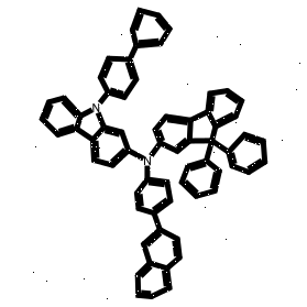 c1ccc(-c2ccc(-n3c4ccccc4c4ccc(N(c5ccc(-c6ccc7ccccc7c6)cc5)c5ccc6c(c5)C(c5ccccc5)(c5ccccc5)c5ccccc5-6)cc43)cc2)cc1